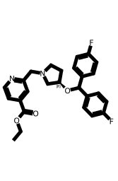 CCOC(=O)c1ccnc(CN2CC[C@@H](OC(c3ccc(F)cc3)c3ccc(F)cc3)C2)c1